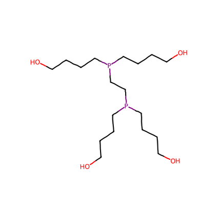 OCCCCP(CCCCO)CCP(CCCCO)CCCCO